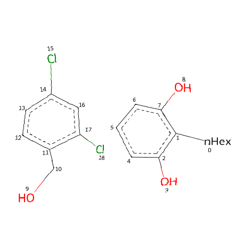 CCCCCCc1c(O)cccc1O.OCc1ccc(Cl)cc1Cl